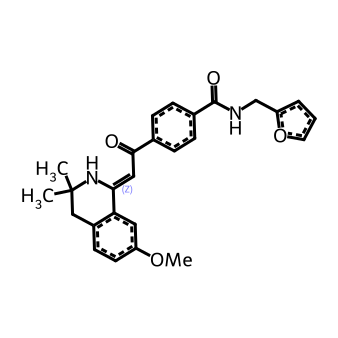 COc1ccc2c(c1)/C(=C/C(=O)c1ccc(C(=O)NCc3ccco3)cc1)NC(C)(C)C2